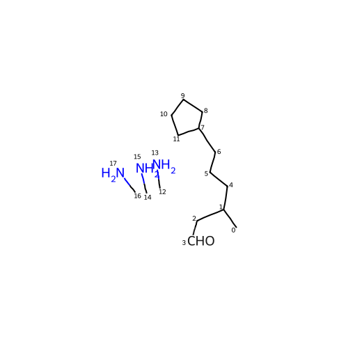 CC(CC=O)CCCC1CCCC1.CN.CN.CN